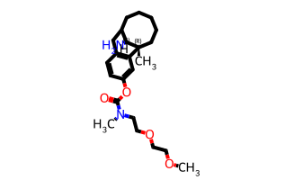 COCCOCCN(C)C(=O)Oc1ccc2c(c1)[C@@]1(C)CCCCCC(C2)[C@@H]1N